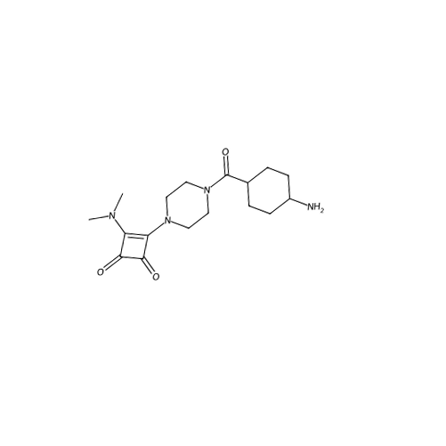 CN(C)c1c(N2CCN(C(=O)C3CCC(N)CC3)CC2)c(=O)c1=O